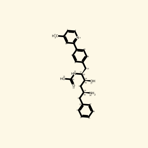 Cc1ccnc(-c2ccc(C[C@H](NC(=O)O)[C@@H](O)C[C@@H](N)Cc3ccccc3)cc2)c1